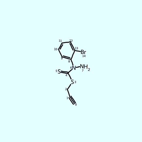 C#CCSC(=S)N(N)c1ccccc1Br